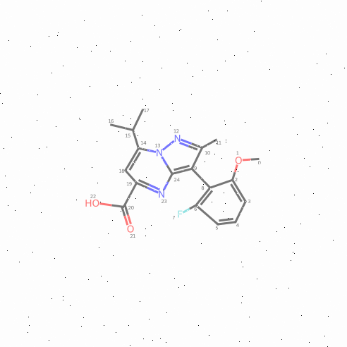 COc1cccc(F)c1-c1c(C)nn2c(C(C)C)cc(C(=O)O)nc12